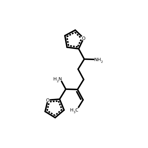 CC=C(CCC(N)c1ccco1)C(N)c1ccco1